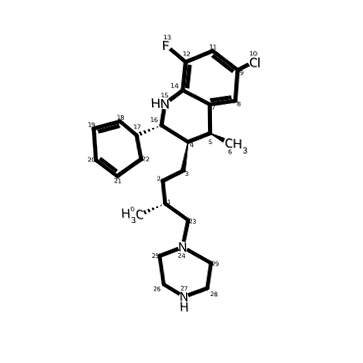 C[C@H](CC[C@@H]1[C@H](C)c2cc(Cl)cc(F)c2N[C@H]1C1C=CC=CC1)CN1CCNCC1